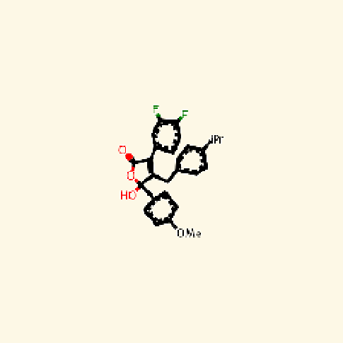 COc1ccc(C2(O)OC(=O)C(c3ccc(F)c(F)c3)=C2Cc2ccc(C(C)C)cc2)cc1